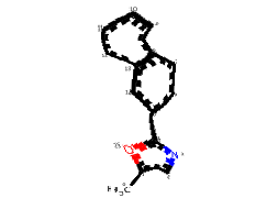 Cc1[c]nc(-c2ccc3ccccc3c2)o1